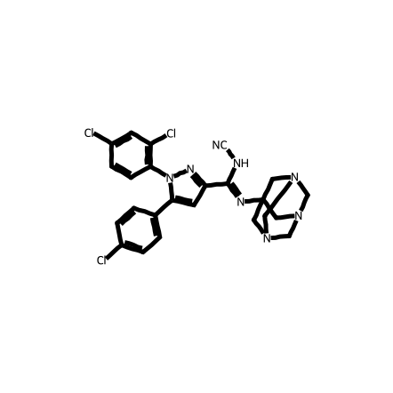 N#CNC(=NC12CN3CN(CN(C3)C1)C2)c1cc(-c2ccc(Cl)cc2)n(-c2ccc(Cl)cc2Cl)n1